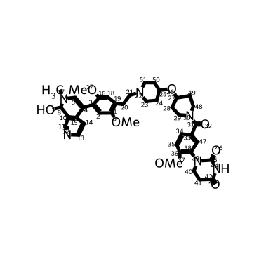 COc1cc(C2=CN(C)C(O)c3cnccc32)c(OC)cc1CCN1CCC(OC2CCN(C(=O)c3ccc(OC)c(N4CCC(=O)NC4=O)c3)CC2)CC1